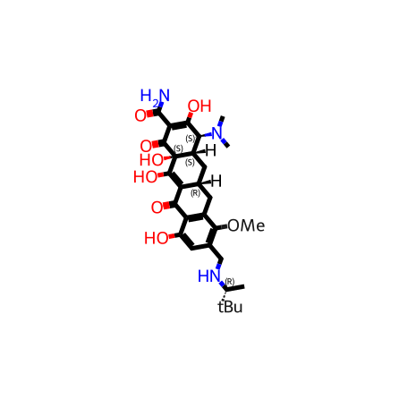 COc1c(CN[C@H](C)C(C)(C)C)cc(O)c2c1C[C@H]1C[C@H]3[C@H](N(C)C)C(O)=C(C(N)=O)C(=O)[C@@]3(O)C(O)=C1C2=O